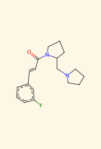 O=C(C=Cc1cccc(F)c1)N1CCCC1CN1CCCC1